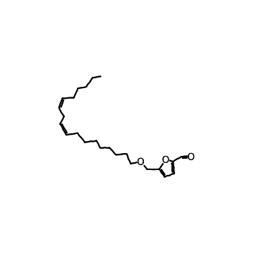 CCCCC/C=C\C/C=C\CCCCCCCCOCc1ccc(C=O)o1